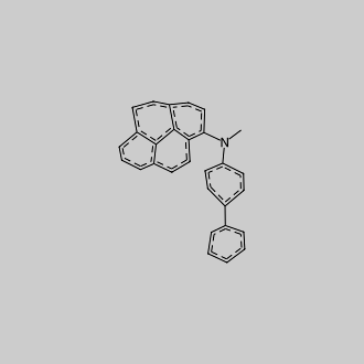 CN(c1ccc(-c2ccccc2)cc1)c1ccc2ccc3cccc4ccc1c2c34